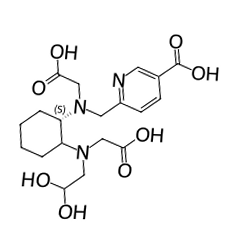 O=C(O)CN(CC(O)O)C1CCCC[C@@H]1N(CC(=O)O)Cc1ccc(C(=O)O)cn1